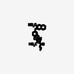 C/C=C/C(=O)N1C[C@H](CN2C[C@H](CN3CC4CCCCC4CC3C(=O)O)CCC2C(=O)O)CC1C(=O)O